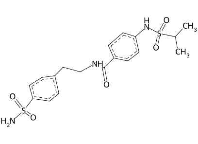 CC(C)S(=O)(=O)Nc1ccc(C(=O)NCCc2ccc(S(N)(=O)=O)cc2)cc1